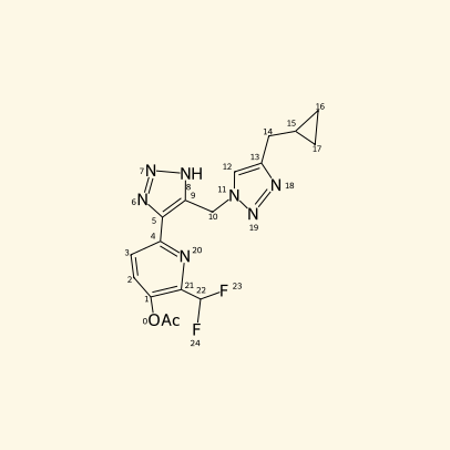 CC(=O)Oc1ccc(-c2nn[nH]c2Cn2cc(CC3CC3)nn2)nc1C(F)F